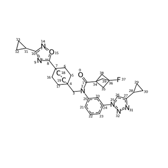 O=C(N(CC12CCC(c3nc(C4CC4)no3)(CC1)CC2)c1cccc(-n2cc(C3CC3)nn2)c1)C12CC(F)(C1)C2